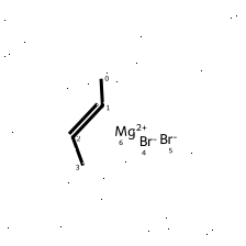 CC=CC.[Br-].[Br-].[Mg+2]